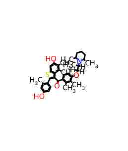 [2H]C([2H])(Oc1ccc(C(=O)c2c(-c3ccc(O)cc3C)sc3cc(O)c(C)c(C)c23)c(C)c1C)C([2H])(C)N1C(C)CCCC1C